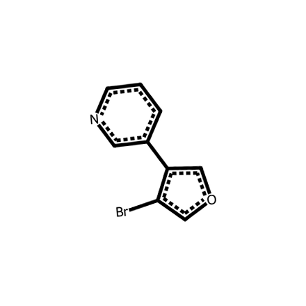 Brc1cocc1-c1cccnc1